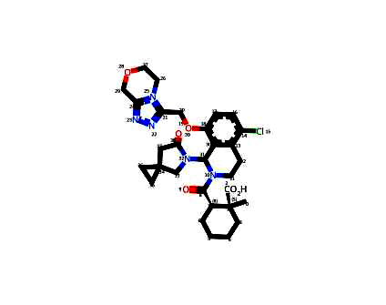 C[C@]1(C(=O)O)CCCC[C@H]1C(=O)N1CCc2c(Cl)ccc(OCc3nnc4n3CCOC4)c2C1N1CC2(CC2)CC1=O